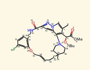 COC(=O)[C@@H](OC(C)(C)C)c1c(C)cn2nc3cc2c1N1CCC(C)(CC/C=C/COc2cc(F)ccc2CNC3=O)CC1